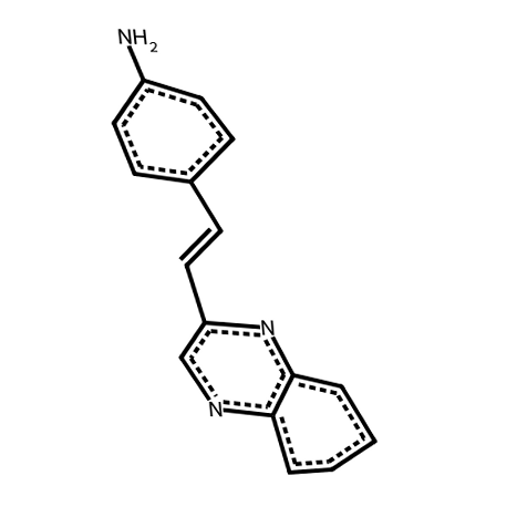 Nc1ccc(C=Cc2cnc3ccccc3n2)cc1